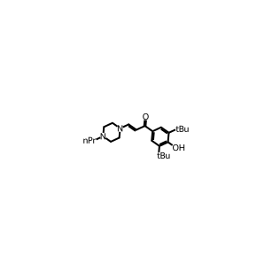 CCCN1CCN(C=CC(=O)c2cc(C(C)(C)C)c(O)c(C(C)(C)C)c2)CC1